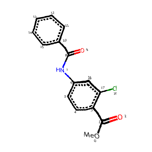 COC(=O)c1ccc(NC(=O)c2ccccc2)cc1Cl